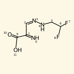 N=C(/C=N\NCC(F)F)C(=O)O